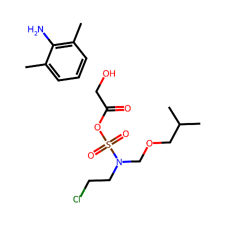 CC(C)COCN(CCCl)S(=O)(=O)OC(=O)CO.Cc1cccc(C)c1N